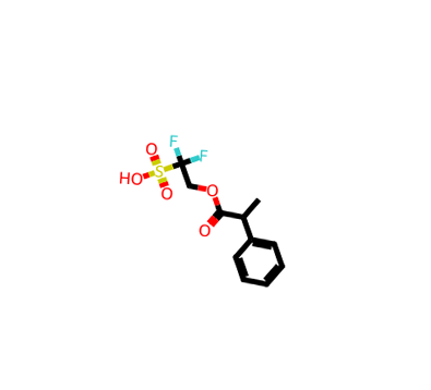 CC(C(=O)OCC(F)(F)S(=O)(=O)O)c1ccccc1